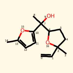 C=CC1(C)CCC(C(C)(O)c2ccc(C)o2)O1